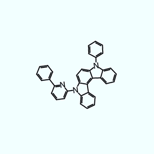 c1ccc(-c2cccc(-n3c4ccccc4c4c5c6ccccc6n(-c6ccccc6)c5ccc43)n2)cc1